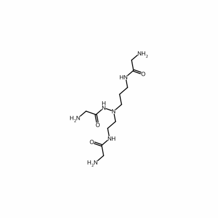 NCC(=O)NCCCN(CCNC(=O)CN)NC(=O)CN